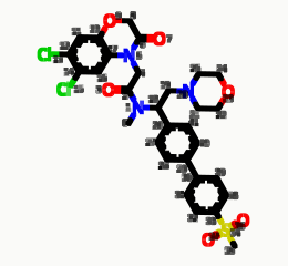 CN(C(=O)CN1C(=O)COc2cc(Cl)c(Cl)cc21)C(CN1CCOCC1)c1ccc(-c2ccc(S(C)(=O)=O)cc2)cc1